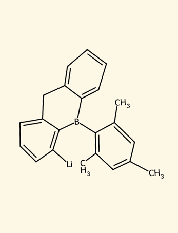 [Li][c]1cccc2c1B(c1c(C)cc(C)cc1C)c1ccccc1C2